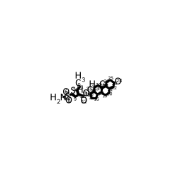 CCc1sc(S(N)(=O)=O)cc1C(=O)O[C@H]1CCC2C3CCC4=CC(=O)CC[C@]4(C)C3CC[C@@]21C